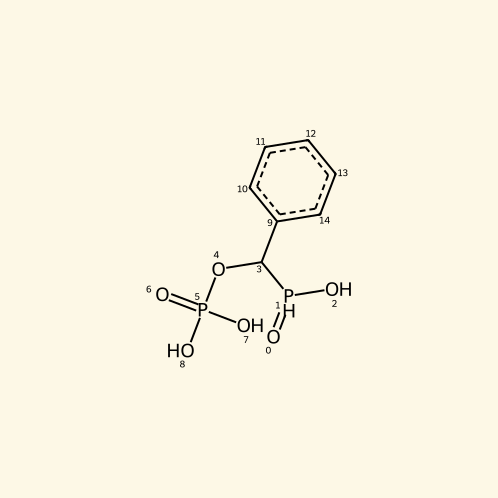 O=[PH](O)C(OP(=O)(O)O)c1ccccc1